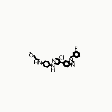 COCCCNC1CCC(Nc2cc(-c3ccc4ncn(Cc5cccc(F)c5)c4c3)c(Cl)cn2)CC1